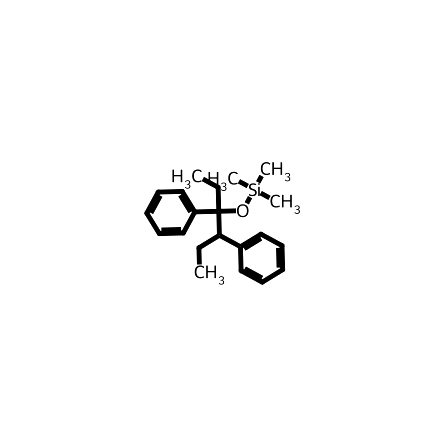 CCC(c1ccccc1)C(CC)(O[Si](C)(C)C)c1ccccc1